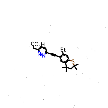 CCc1cc2c(cc1C#Cc1ccc(CC(=O)O)nn1)C(C)(C)CC(C)(C)S2